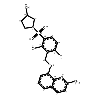 Cc1ccc2cccc(OCc3c(Cl)ccc(S(=O)(=O)N4CCC(O)C4)c3Cl)c2n1